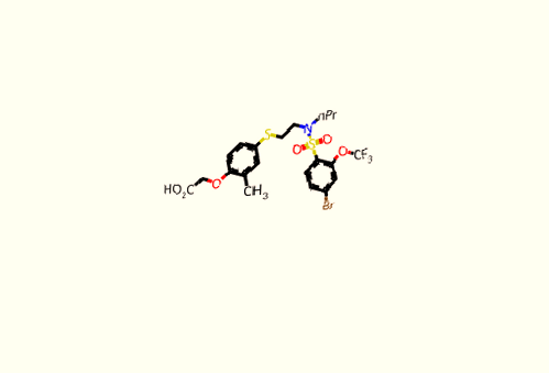 CCCN(CCSc1ccc(OCC(=O)O)c(C)c1)S(=O)(=O)c1ccc(Br)cc1OC(F)(F)F